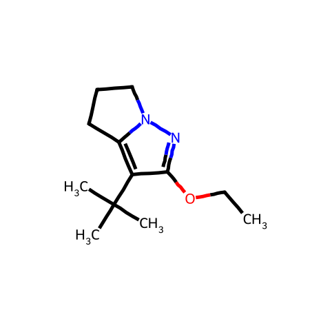 CCOc1nn2c(c1C(C)(C)C)CCC2